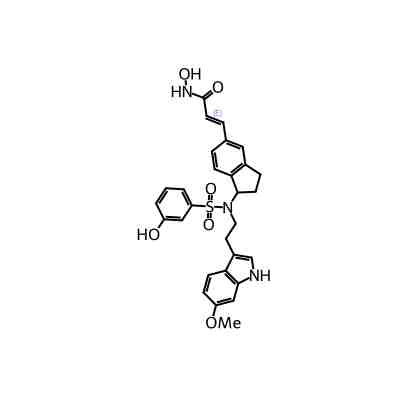 COc1ccc2c(CCN(C3CCc4cc(/C=C/C(=O)NO)ccc43)S(=O)(=O)c3cccc(O)c3)c[nH]c2c1